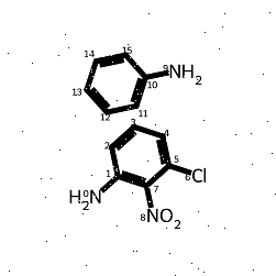 Nc1cccc(Cl)c1[N+](=O)[O-].Nc1ccccc1